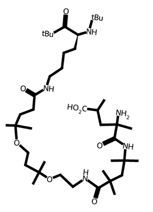 CC(CC(C)(N)C(=O)NC(C)(C)CC(C)(C)C(=O)NCCOC(C)(C)CCOC(C)(C)CCC(=O)NCCCC[C@H](NC(C)(C)C)C(=O)C(C)(C)C)C(=O)O